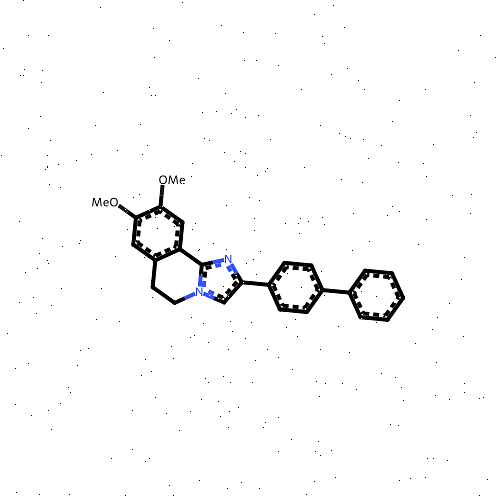 COc1cc2c(cc1OC)-c1nc(-c3ccc(-c4ccccc4)cc3)cn1CC2